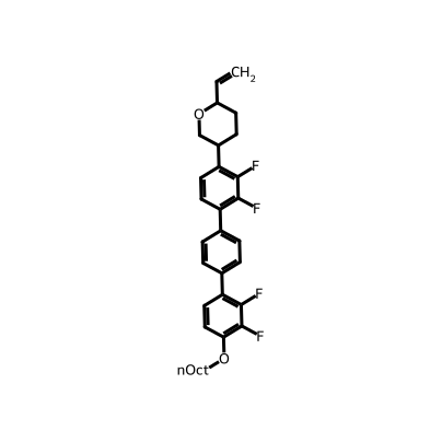 C=CC1CCC(c2ccc(-c3ccc(-c4ccc(OCCCCCCCC)c(F)c4F)cc3)c(F)c2F)CO1